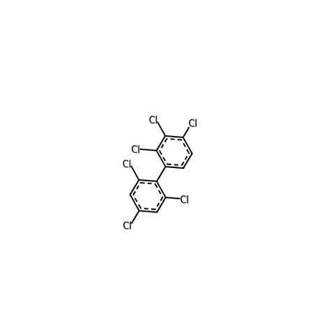 Clc1cc(Cl)c(-c2ccc(Cl)c(Cl)c2Cl)c(Cl)c1